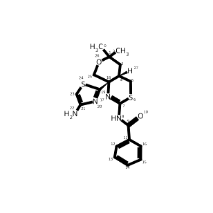 CC1(C)C[C@@H]2CSC(NC(=O)c3ccccc3)=N[C@]2(c2nc(N)cs2)CO1